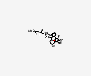 COC(=O)CNC(=O)CNC(=O)Cn1nc(C2CCN(C(C)=O)CC2)c2c(-c3ccc4cnn(C)c4c3F)cccc21